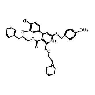 COc1ccc(CSC2=NC(c3ccc(Cl)c(Cl)c3)C(C(=O)OCCCc3ccccc3)=C(COCCN3CCCCC3)N2)cc1